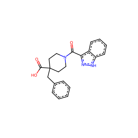 O=C(c1n[nH]c2ccccc12)N1CCC(Cc2ccccc2)(C(=O)O)CC1